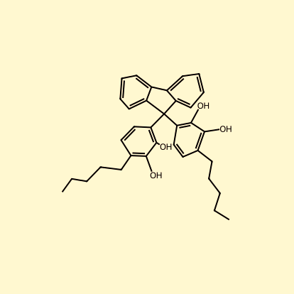 CCCCCc1ccc(C2(c3ccc(CCCCC)c(O)c3O)c3ccccc3-c3ccccc32)c(O)c1O